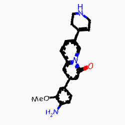 COc1cc(-c2cc(=O)n3cc(C4=CCNCC4)ccc3c2)ccc1N